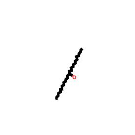 CCCCCCCCCCCCC=CC(=C=O)CCCCCCCCCCCCCC